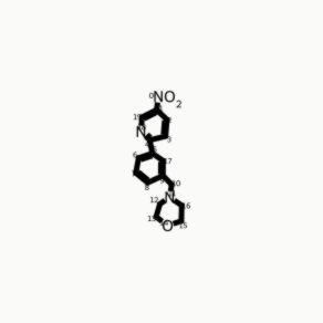 O=[N+]([O-])c1ccc(-c2cccc(CN3CCOCC3)c2)nc1